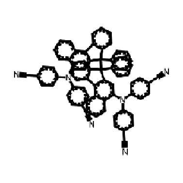 N#Cc1ccc(N(c2ccc(C#N)cc2)c2cc3c(c4ccccc24)-c2ccccc2C3(c2ccccc2)C2(c3ccccc3)c3ccccc3-c3c2cc(N(c2ccc(C#N)cc2)c2ccc(C#N)cc2)c2ccccc32)cc1